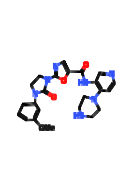 COc1cccc(N2CCN(c3ncc(C(=O)Nc4cnccc4N4CCNCC4)o3)C2=O)c1